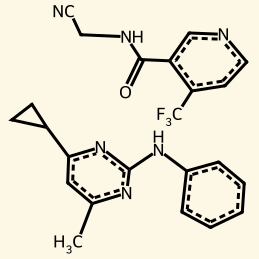 Cc1cc(C2CC2)nc(Nc2ccccc2)n1.N#CCNC(=O)c1cnccc1C(F)(F)F